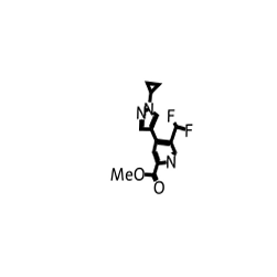 COC(=O)c1cc(-c2cnn(C3CC3)c2)c(C(F)F)cn1